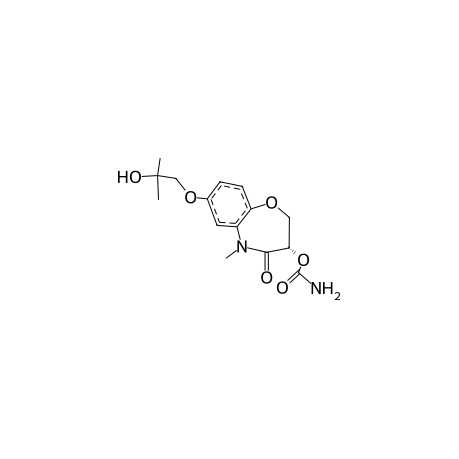 CN1C(=O)[C@@H](OC(N)=O)COc2ccc(OCC(C)(C)O)cc21